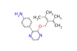 C=C(C)C(COc1nccnc1-c1ccc(N)cc1)=C(C)C